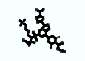 C[C@H]1CN(c2cc(S(=O)(=O)N(COCC[Si](C)(C)C)C3(C)CC3F)cn3c(-c4nnc(C(F)F)s4)ncc23)C[C@H](C)N1C(=O)OC(C)(C)C